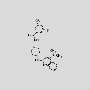 CN(C)c1cc(N[C@H]2CC[C@@H](CNC(=O)c3cc(F)cc(C(F)(F)F)c3)CC2)nc2ccccc12